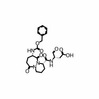 O=C[C@H](CC(=O)O)NC(=O)[C@@H]1CCCN2C(=O)CC[C@H](NC(=O)OCc3ccccc3)C(=O)N12